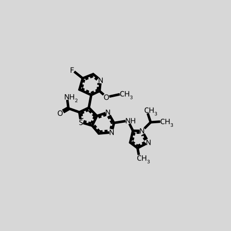 COc1ncc(F)cc1-c1c(C(N)=O)sc2cnc(Nc3cc(C)nn3C(C)C)nc12